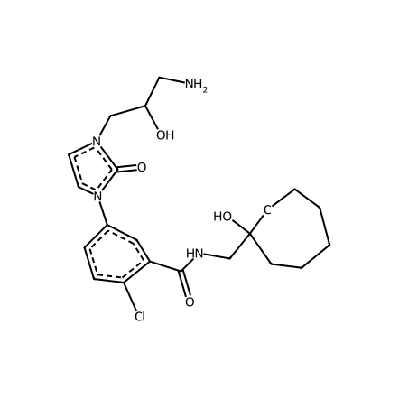 NCC(O)Cn1ccn(-c2ccc(Cl)c(C(=O)NCC3(O)CCCCCC3)c2)c1=O